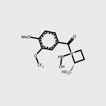 COc1ccc(C(=O)[N+]2(NO)CC[C@@H]2C(=O)O)cc1OC(F)(F)F